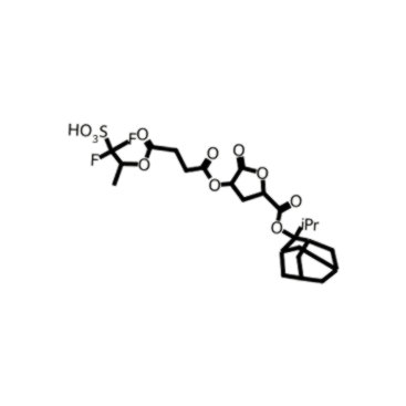 CC(C)C1(OC(=O)C2CC(OC(=O)CCC(=O)OC(C)C(F)(F)S(=O)(=O)O)C(=O)O2)C2CC3CC(C2)CC1C3